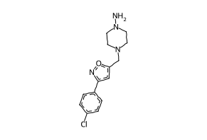 NN1CCN(Cc2cc(-c3ccc(Cl)cc3)no2)CC1